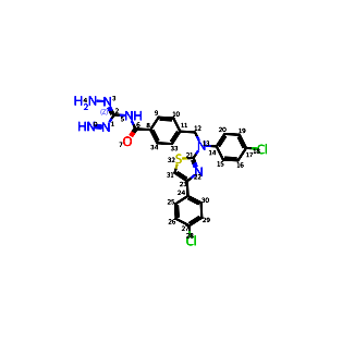 N=N/C(=N\N)NC(=O)c1ccc(CN(c2ccc(Cl)cc2)c2nc(-c3ccc(Cl)cc3)cs2)cc1